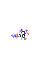 NS(=O)(=O)N1CC[C@@H](Sc2nonc2-c2noc(=O)n2-c2ccc(F)c(Br)c2)C1